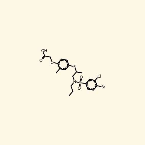 CCCN(CC(C)Sc1ccc(OCC(=O)O)c(C)c1)S(=O)(=O)c1ccc(Br)c(Cl)c1